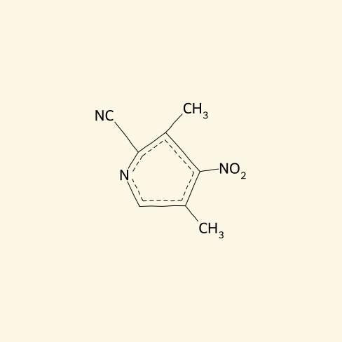 Cc1cnc(C#N)c(C)c1[N+](=O)[O-]